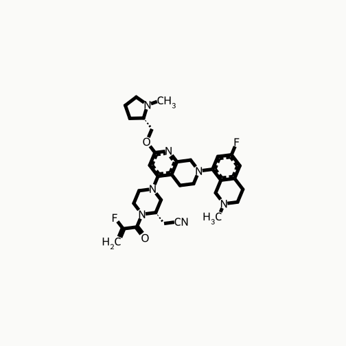 C=C(F)C(=O)N1CCN(c2cc(OC[C@@H]3CCCN3C)nc3c2CCN(c2cc(F)cc4c2CN(C)CC4)C3)C[C@@H]1CC#N